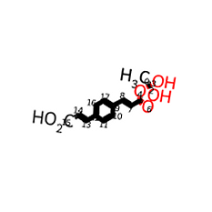 CC(O)(O)OC(=O)C=Cc1ccc(C=CC(=O)O)cc1